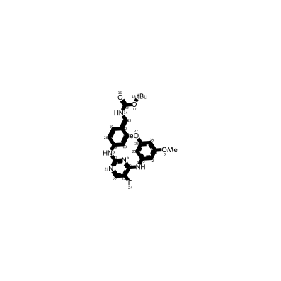 COc1cc(Nc2nc(NC3C=CC(=CNC(=O)OC(C)(C)C)C=C3)ncc2F)cc(OC)c1